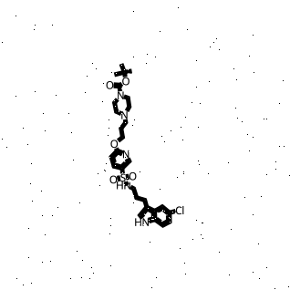 CC(C)(C)OC(=O)N1CCN(CCCOc2ccc(S(=O)(=O)NCCCc3c[nH]c4ccc(Cl)cc34)cn2)CC1